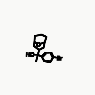 CC(O)(c1ccc(Br)cc1)C1CC2CCCC(C1)O2